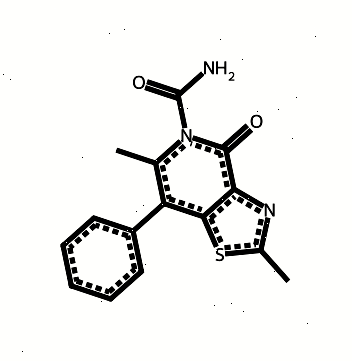 Cc1nc2c(=O)n(C(N)=O)c(C)c(-c3ccccc3)c2s1